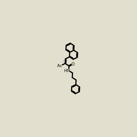 CC(=O)/C(=C/c1cccc2ccccc12)C(=O)NCCCc1ccccc1